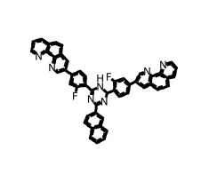 Fc1cc(-c2cnc3c(ccc4cccnc43)c2)ccc1C1=NC(c2ccc3ccccc3c2)=NC(c2ccc(-c3cnc4c(ccc5cccnc54)c3)cc2F)N1